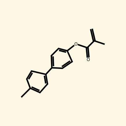 C=C(C)C(=O)Oc1ccc(-c2ccc(C)cc2)cc1